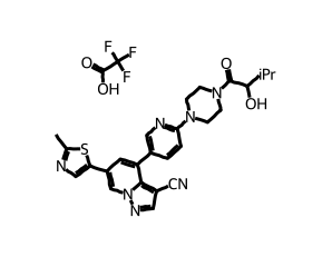 Cc1ncc(-c2cc(-c3ccc(N4CCN(C(=O)C(O)C(C)C)CC4)nc3)c3c(C#N)cnn3c2)s1.O=C(O)C(F)(F)F